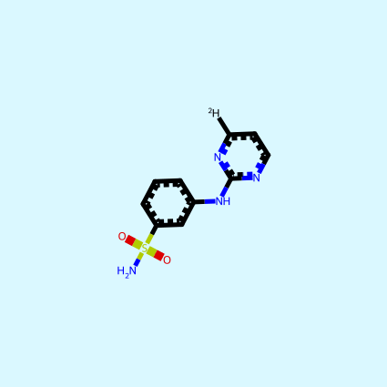 [2H]c1ccnc(Nc2cccc(S(N)(=O)=O)c2)n1